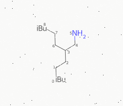 CCC(C)CC[C](CN)CCC(C)CC